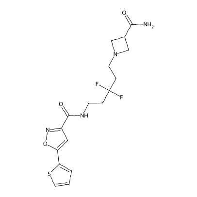 NC(=O)C1CN(CCC(F)(F)CCNC(=O)c2cc(-c3cccs3)on2)C1